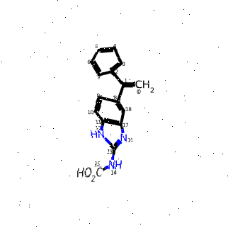 C=C(c1ccccc1)c1ccc2[nH]c(NC(=O)O)nc2c1